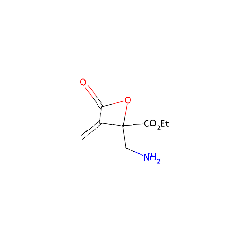 C=C1C(=O)OC1(CN)C(=O)OCC